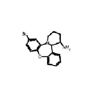 NC1CCCN2c3cc(Br)ccc3Oc3ccccc3C12